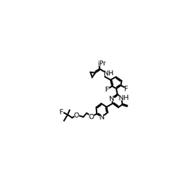 C=C1C=C(c2ccc(OCCOCC(C)(C)F)nc2)N=C(c2c(F)ccc(CNC(=C3CC3)C(C)C)c2F)N1